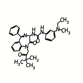 CCN(C)c1cccc(NC(=O)NC2N=C(c3ccccc3)c3ccccc3N(CC(=O)C(C)(C)C)C2=O)c1